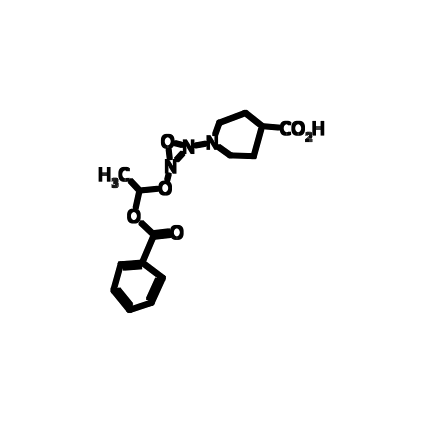 CC(OC(=O)c1ccccc1)On1on1N1CCC(C(=O)O)CC1